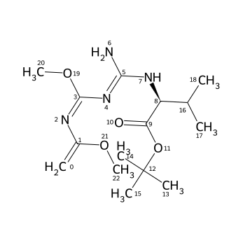 C=C(/N=C(\N=C(/N)N[C@H](C(=O)OC(C)(C)C)C(C)C)OC)OC